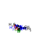 C=CC(=O)N1CC[C@H](n2cnc3c(N4CC(N(C)C)C4)nc4c(F)c(Br)c(Cl)cc4c32)C[C@H]1C(N)=O